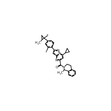 CC1c2ccccc2CCN1C(=O)c1cc(C2CC2)n2nc(-c3ccc(C4(F)CC4C)cc3F)cc2n1